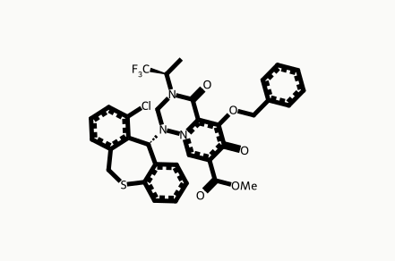 COC(=O)c1cn2c(c(OCc3ccccc3)c1=O)C(=O)N([C@H](C)C(F)(F)F)CN2[C@@H]1c2ccccc2SCc2cccc(Cl)c21